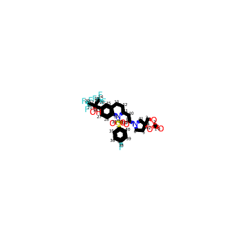 O=C1OCC2(CCN(C(=O)CC3CCc4cc(C(O)(C(F)(F)F)C(F)(F)F)ccc4N3S(=O)(=O)c3ccc(F)cc3)C2)O1